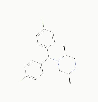 C[C@H]1CN(C(c2ccc(F)cc2)c2ccc(F)cc2)[C@@H](C)CN1